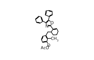 CC(=O)OOc1cccc(CC2CCCC=C2c2nc(-c3ccccc3)c(-c3ccccc3)o2)c1C